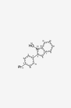 CC(C)c1ccc(-c2cc3ccccc3n2O)cc1